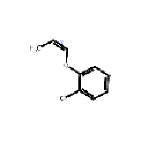 C/C=C\Oc1c[c]ccc1Cl